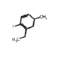 CCC1=C(F)C=CC(C)C1